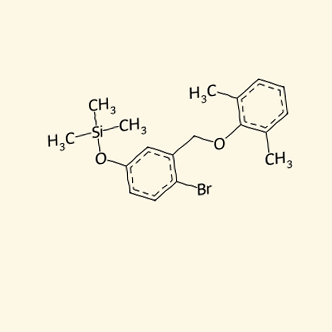 Cc1cccc(C)c1OCc1cc(O[Si](C)(C)C)ccc1Br